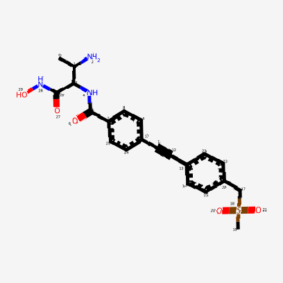 CC(N)C(NC(=O)c1ccc(C#Cc2ccc(CS(C)(=O)=O)cc2)cc1)C(=O)NO